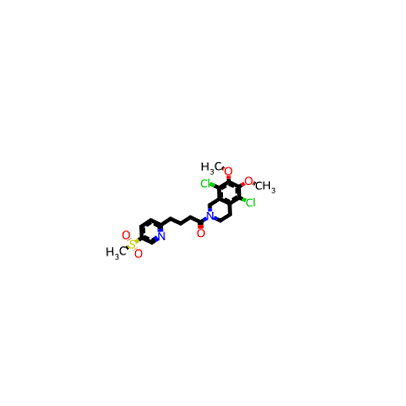 COc1c(Cl)c2c(c(Cl)c1OC)CN(C(=O)CCCc1ccc(S(C)(=O)=O)cn1)CC2